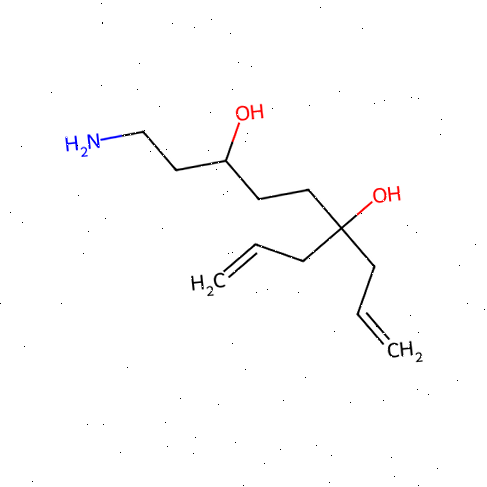 C=CCC(O)(CC=C)CCC(O)CCN